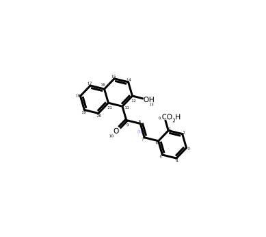 O=C(O)c1ccccc1/C=C/C(=O)c1c(O)ccc2ccccc12